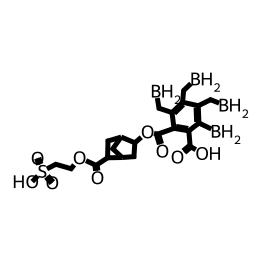 BCc1c(B)c(C(=O)O)c(C(=O)OC2CC3CC2CC3C(=O)OCCS(=O)(=O)O)c(CB)c1CB